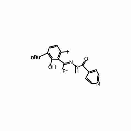 CCCCc1ccc(F)c(C(=NNC(=O)c2ccncc2)C(C)C)c1O